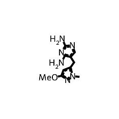 COc1cc(Cc2cnc(N)nc2N)n(C)n1